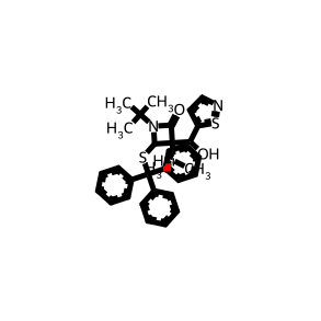 C[SiH](C)C1(C(O)c2ccns2)C(=O)N(C(C)(C)C)C1SC(c1ccccc1)(c1ccccc1)c1ccccc1